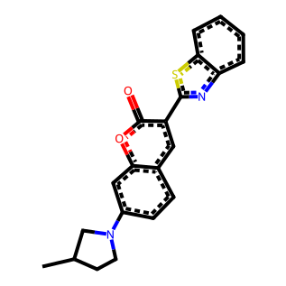 CC1CCN(c2ccc3cc(-c4nc5ccccc5s4)c(=O)oc3c2)C1